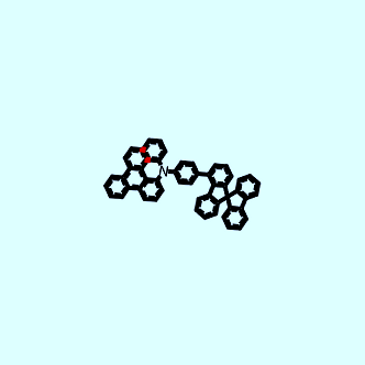 c1ccc(N(c2ccc(-c3cccc4c3-c3ccccc3C43c4ccccc4-c4ccccc43)cc2)c2cccc3c4ccccc4c4ccccc4c23)cc1